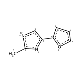 Cc1nc(-c2ccco2)c[nH]1